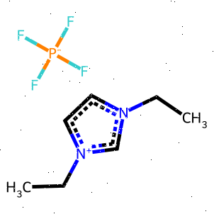 CCn1cc[n+](CC)c1.F[P-](F)(F)F